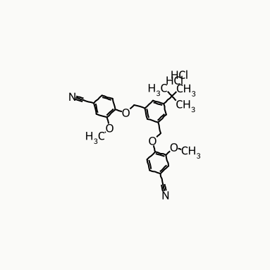 COc1cc(C#N)ccc1OCc1cc(COc2ccc(C#N)cc2OC)cc(C(C)(C)C)c1.Cl.Cl